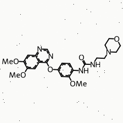 COc1cc(Oc2ncnc3cc(OC)c(OC)cc23)ccc1NC(=O)NCCN1CCOCC1